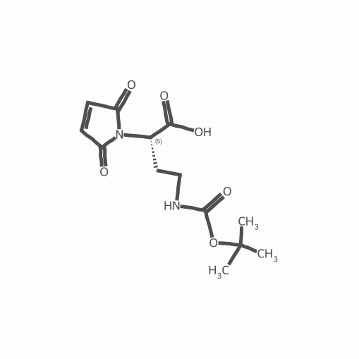 CC(C)(C)OC(=O)NCC[C@@H](C(=O)O)N1C(=O)C=CC1=O